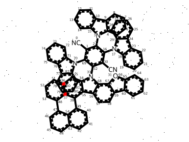 N#Cc1c(-n2c3ccccc3c3ccccc32)c(-n2c3ccccc3c3ccccc32)c(C#N)c(-n2c3cccc(-c4cccc5cccc(-c6ccccc6)c45)c3c3ccc4c5ccccc5oc4c32)c1-n1c2ccccc2c2ccccc21